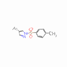 CC(=O)c1cnn(S(=O)(=O)c2ccc(C)cc2)c1